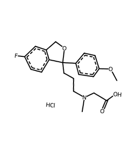 COc1ccc(C2(CCCN(C)CC(=O)O)OCc3cc(F)ccc32)cc1.Cl